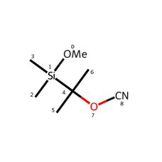 CO[Si](C)(C)C(C)(C)OC#N